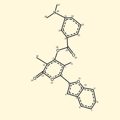 Cc1c(-c2cc3ccccc3o2)oc(=O)c(C)c1OC(=O)c1cccc(N(C)C)c1